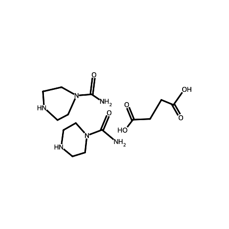 NC(=O)N1CCNCC1.NC(=O)N1CCNCC1.O=C(O)CCC(=O)O